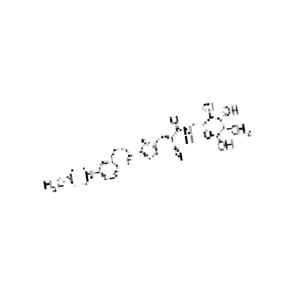 C[C@H]1C(O)O[C@H](CNC(=O)/C(C#N)=C/c2ccc(-c3ccc4cc(N5CCN(C)CC5)ccc4c3)s2)[C@@H](O)[C@@H]1O